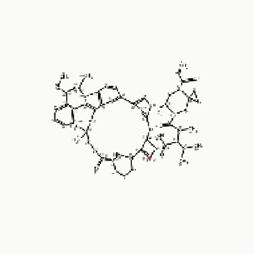 C=CC(=O)N1C[C@H](C)N(C(=O)N(C)C(C(=O)N[C@@]2(SC)Cc3nc(cs3)-c3ccc4c(c3)c(c(-c3cccnc3[C@H](C)OC)n4CC)CC(C)(C)COC(=O)[C@@]3(S)CCCN(N3)C2=O)C(C)C)CC12CC2